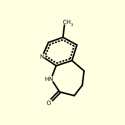 Cc1cnc2c(c1)CCCC(=O)N2